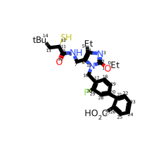 CCOc1nc(CC)c(CNC(=O)[C@@H](S)CC(C)(C)C)n1Cc1ccc(-c2ccccc2C(=O)O)cc1F